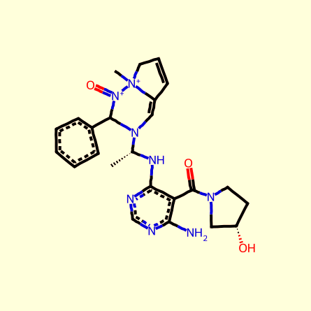 C[C@@H](Nc1ncnc(N)c1C(=O)N1CC[C@H](O)C1)N1C=C2C=CC[N+]2(C)[N+](=O)C1c1ccccc1